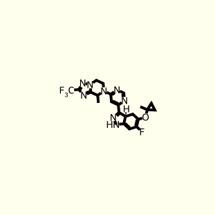 CC1c2nc(C(F)(F)F)nn2CCN1c1cc(C2=NNC3=CC(F)=C(OC4(C)CC4)C[C@@H]32)ncn1